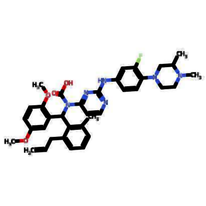 C=CCc1cccc(C)c1C(c1cc(OC)ccc1OC)N(C(=O)O)c1ccnc(Nc2ccc(N3CCN(C)C(C)C3)c(F)c2)n1